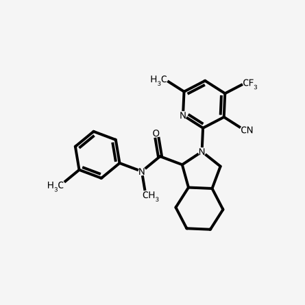 Cc1cccc(N(C)C(=O)C2C3CCCCC3CN2c2nc(C)cc(C(F)(F)F)c2C#N)c1